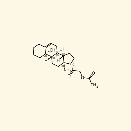 CC(=O)OCC(=O)[C@H]1CC[C@H]2[C@@H]3CC=C4CCCC[C@]4(C)[C@H]3CC[C@]12C